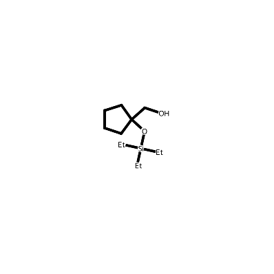 CC[Si](CC)(CC)OC1(CO)CCCC1